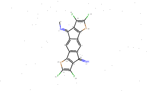 C/N=c1/c2cc3c(cc2c2sc(F)c(F)c12)c(=N)c1c(F)c(F)sc13